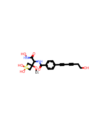 CCOC1(C(NC(=O)c2ccc(C#CC#CCCO)cc2)C(=O)NO)CS(O)(O)C1